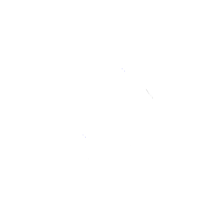 c1ccc(-c2ccc(N(c3ccc(-c4ccccc4)c(-c4cccc(-n5c6ccccc6c6ccccc65)c4)c3)c3ccccc3-c3ccccc3)cc2)cc1